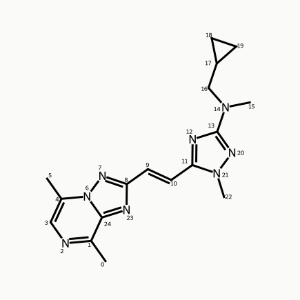 Cc1ncc(C)n2nc(C=Cc3nc(N(C)CC4CC4)nn3C)nc12